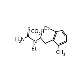 CCc1cccc(C)c1CC(C(=O)O)N(CC)C(N)=S